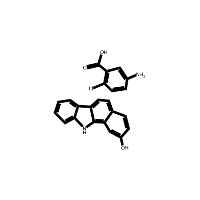 Nc1ccc(Cl)c(C(=O)O)c1.Oc1ccc2ccc3c4ccccc4[nH]c3c2c1